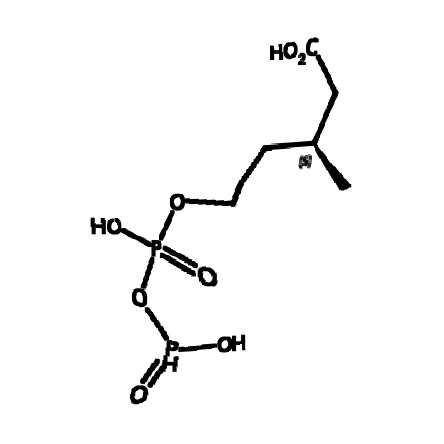 C[C@@H](CCOP(=O)(O)O[PH](=O)O)CC(=O)O